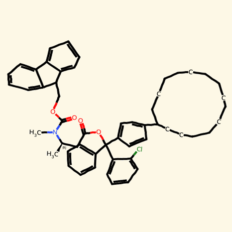 C[C@H](CC(=O)OC(c1ccccc1)(c1ccc(C2CCCCCCCCCCCCCC2)cc1)c1ccccc1Cl)N(C)C(=O)OCC1c2ccccc2-c2ccccc21